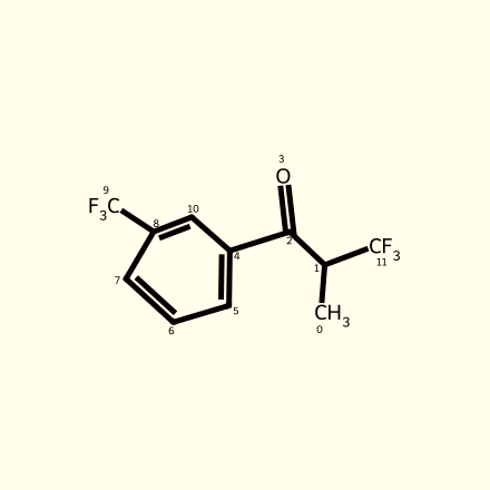 CC(C(=O)c1cccc(C(F)(F)F)c1)C(F)(F)F